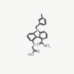 Cc1cccc(Cn2c3cccc(OCC(=O)O)c3c3c(C(N)=O)cccc32)c1